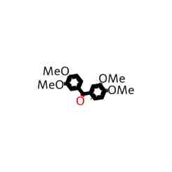 COc1c[c]c(C(=O)c2ccc(OC)c(OC)c2)cc1OC